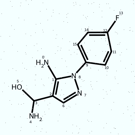 Nc1c(C(N)O)cnn1-c1ccc(F)cc1